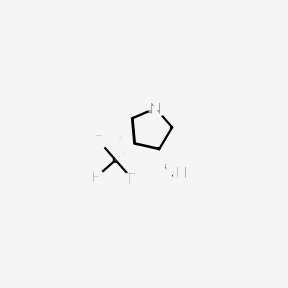 N[C@H]1C[N]C[C@H]1C(F)(F)F